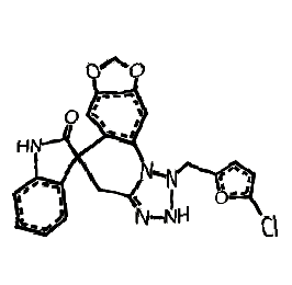 O=C1Nc2ccccc2C12CC1=NNN(Cc3ccc(Cl)o3)N1c1cc3c(cc12)OCO3